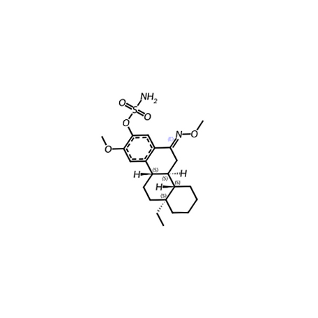 CC[C@@]12CCCC[C@H]1[C@@H]1C/C(=N\OC)c3cc(OS(N)(=O)=O)c(OC)cc3[C@H]1CC2